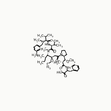 CC[C@H](C)[C@@H]([C@@H](CC(=O)N1CCCC1[C@H](OC)[C@@H](C)C(=O)NC(Cc1ccccc1)C(=O)O)OC)N(C)C(=O)C(NC(=O)C(C(C)C)N(C)Cc1cccc(N)c1)C(C)C